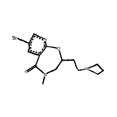 CN1CC(CCN2CCC2)Oc2ncc(Br)cc2C1=S